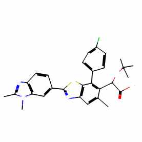 Cc1cc2nc(-c3ccc4nc(C)n(C)c4c3)sc2c(-c2ccc(Cl)cc2)c1C(OC(C)(C)C)C(=O)O